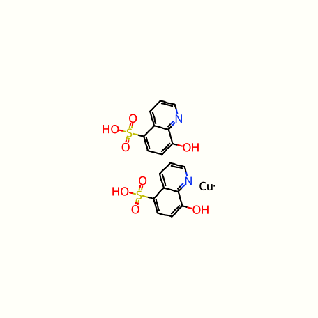 O=S(=O)(O)c1ccc(O)c2ncccc12.O=S(=O)(O)c1ccc(O)c2ncccc12.[Cu]